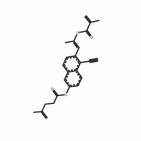 C#Cc1c(/C=C(\C)OC(=O)C(=C)C)ccc2cc(OC(=O)CCC(=C)C)ccc12